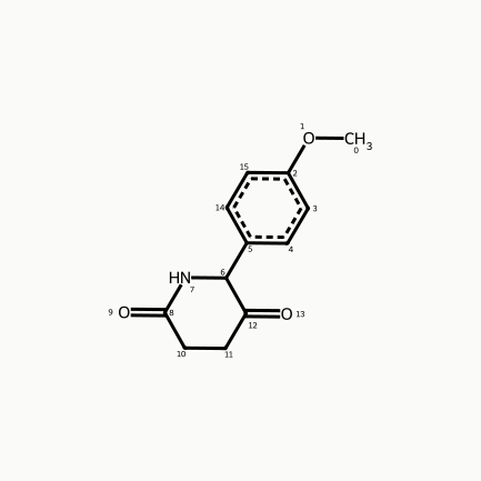 COc1ccc(C2NC(=O)CCC2=O)cc1